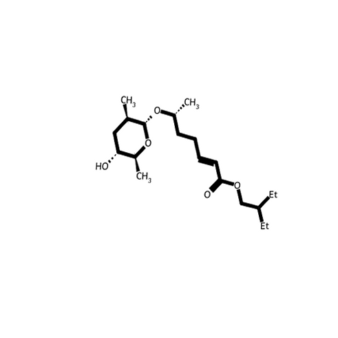 CCC(CC)COC(=O)/C=C/CC[C@@H](C)O[C@@H]1O[C@@H](C)[C@H](O)C[C@H]1C